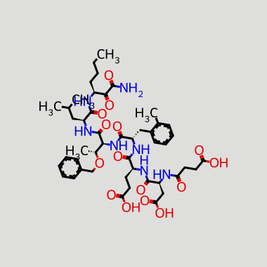 CCCC[C@H](NC(=O)[C@H](CC(C)C)NC(=O)[C@@H](NC(=O)[C@H](Cc1ccccc1C)NC(=O)[C@H](CCC(=O)O)NC(=O)[C@H](CC(=O)O)NC(=O)CCC(=O)O)[C@@H](C)OCc1ccccc1)C(=O)C(N)=O